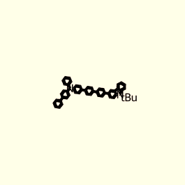 CC(C)(C)n1c2ccccc2c2cc(-c3ccc(-c4ccc(-c5ccc(N(c6ccccc6)c6ccc(-c7ccccc7)cc6)cc5)cc4)cc3)ccc21